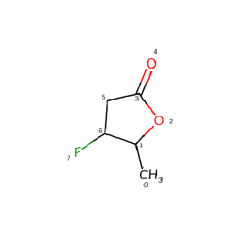 CC1OC(=O)CC1F